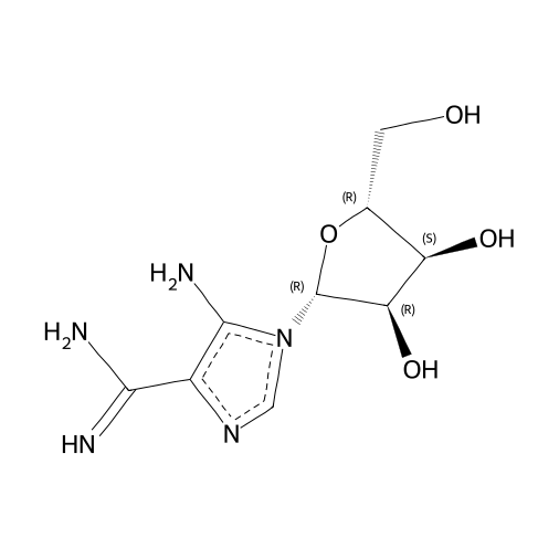 N=C(N)c1ncn([C@@H]2O[C@H](CO)[C@@H](O)[C@H]2O)c1N